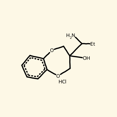 CCC(N)C1(O)COc2ccccc2OC1.Cl